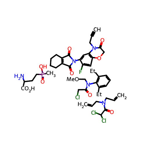 C#CCN1C(=O)COc2cc(F)c(N3C(=O)C4=C(CCCC4)C3=O)cc21.C=CCN(CC=C)C(=O)C(Cl)Cl.CCc1cccc(CC)c1N(COC)C(=O)CCl.CP(=O)(O)CCC(N)C(=O)O